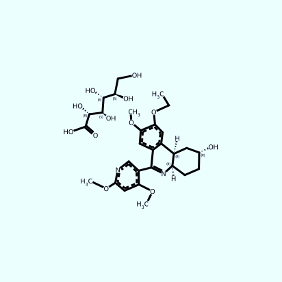 CCOc1cc2c(cc1OC)C(c1cnc(OC)cc1OC)=N[C@@H]1CC[C@@H](O)C[C@H]21.O=C(O)[C@H](O)[C@@H](O)[C@H](O)[C@H](O)CO